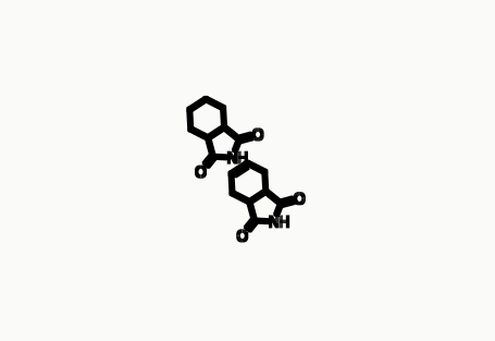 O=C1NC(=O)C2CC=CCC12.O=C1NC(=O)C2CCCCC12